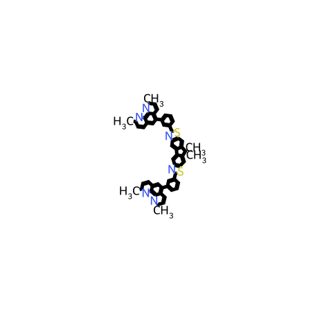 Cc1ccc2cc(-c3cccc(-c4nc5cc6c(cc5s4)C(C)(C)c4cc5sc(-c7cccc(-c8cc9ccc(C)nc9c9nc(C)ccc89)c7)nc5cc4-6)c3)c3ccc(C)nc3c2n1